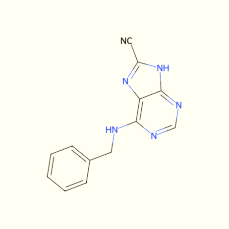 N#Cc1nc2c(NCc3ccccc3)ncnc2[nH]1